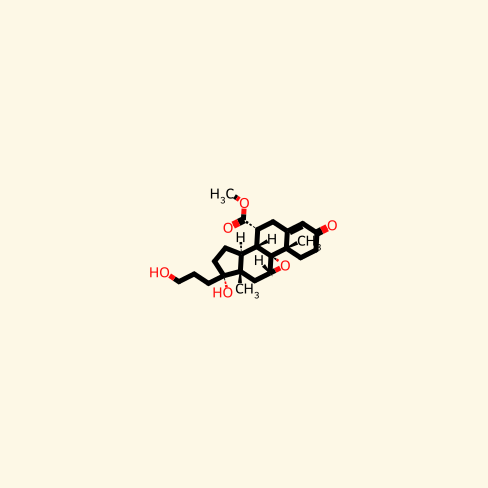 COC(=O)[C@@H]1CC2=CC(=O)CC[C@]2(C)[C@@]23O[C@@H]2C[C@@]2(C)[C@@H](CC[C@]2(O)CCCO)[C@H]13